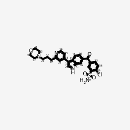 NS(=O)(=O)c1cc(C(=O)c2ccc3c(-c4ccnc(CCCN5CCOCC5)c4)c[nH]c3c2)ccc1Cl